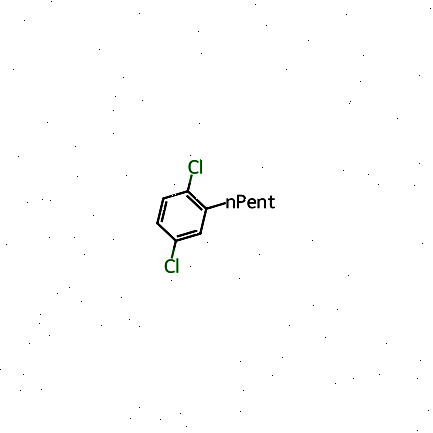 CC[CH]CCc1cc(Cl)ccc1Cl